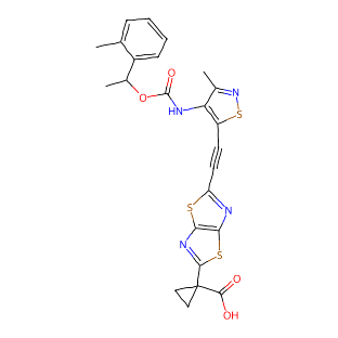 Cc1ccccc1C(C)OC(=O)Nc1c(C)nsc1C#Cc1nc2sc(C3(C(=O)O)CC3)nc2s1